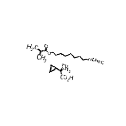 C=C(C(=O)O)C1CC1.C=C(C)C(=O)OCCCCCCCCCCCCCCCCCC